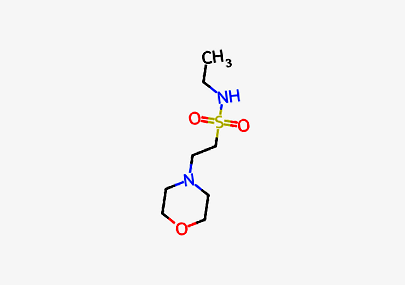 CCNS(=O)(=O)CCN1CCOCC1